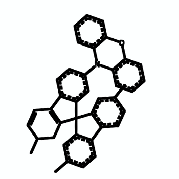 Cc1ccc2c(c1)C1(C3=C(C=CC(C)C3)c3ccc(N4c5ccccc5Oc5ccccc54)cc31)c1cc(C)ccc1-2